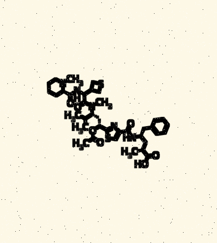 CC(=O)O[C@H](C[C@H](C(C)C)N(C)C(=O)[C@@H](NC(=O)[C@H]1CCCCN1C)C1CSC1)c1nc(C(=O)N[C@@H](Cc2ccccc2)C[C@H](C)C(=O)O)cs1